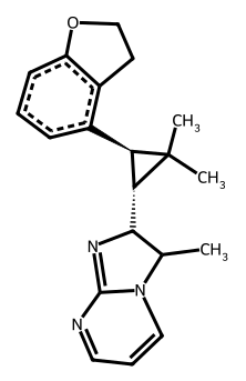 CC1C([C@@H]2[C@@H](c3cccc4c3CCO4)C2(C)C)N=C2N=CC=CN21